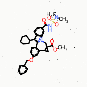 COC(=O)C12CC1c1cc(OCc3ccccc3)ccc1-c1c(C3CCCCC3)c3ccc(C(=O)NS(=O)(=O)N(C)C)cc3n1C2